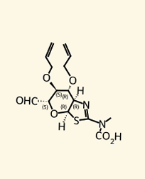 C=CCO[C@@H]1[C@H]2N=C(N(C)C(=O)O)S[C@H]2O[C@H](C=O)[C@H]1OCC=C